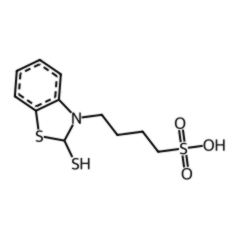 O=S(=O)(O)CCCCN1c2ccccc2SC1S